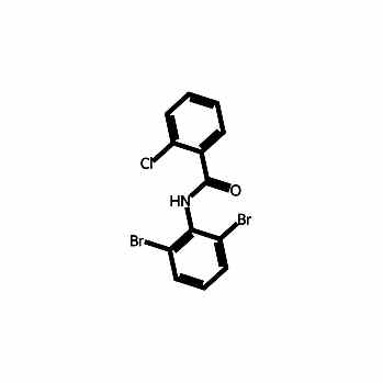 O=C(Nc1c(Br)cccc1Br)c1ccccc1Cl